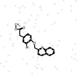 COC(=O)Cc1ccc(OCc2ccc3ccccc3n2)c(Br)c1